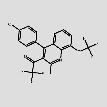 Cc1nc2c(OC(F)(F)F)cccc2c(-c2ccc(Cl)cc2)c1C(=O)C(F)(F)F